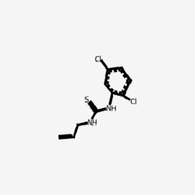 C=CCNC(=S)Nc1cc(Cl)ccc1Cl